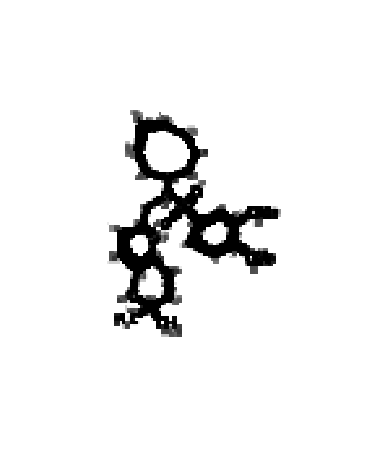 COc1ccc(S(=O)(=O)N(Cc2ccc3c(n2)C=CC(C)(C)O3)C2CCCCCCC2)cc1OC